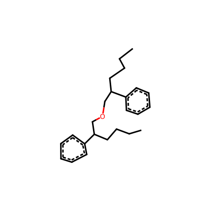 CCCCC(COCC(CCCC)c1ccccc1)c1ccccc1